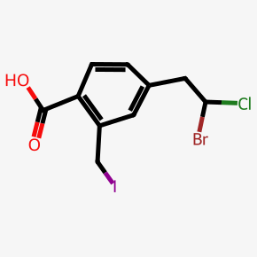 O=C(O)c1ccc(CC(Cl)Br)cc1CI